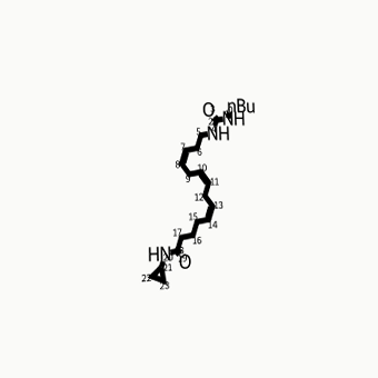 CCCCNC(=O)NCC/C=C\C/C=C\C/C=C\CCCC(=O)NC1CC1